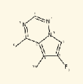 Cc1ncnn2cc(F)c(C)c12